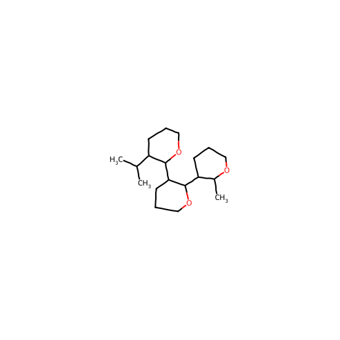 CC(C)C1CCCOC1C1CCCOC1C1CCCOC1C